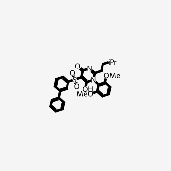 COc1cccc(OC)c1-n1c(CCC(C)C)nc(=O)c(S(=O)(=O)c2cccc(-c3ccccc3)c2)c1O